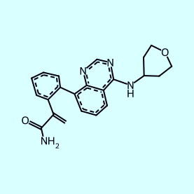 C=C(C(N)=O)c1ccccc1-c1cccc2c(NC3CCOCC3)ncnc12